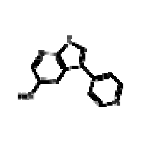 CNc1cnc2[nH]cc(-c3ccncc3)c2c1